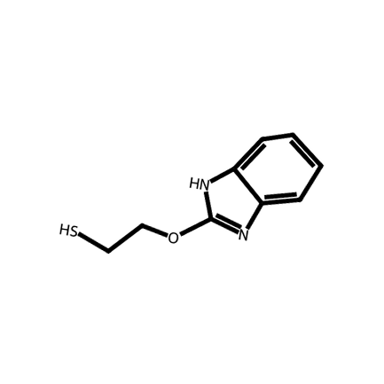 SCCOc1nc2ccccc2[nH]1